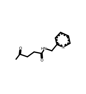 CC(=O)CCC(=O)NCc1ccccn1